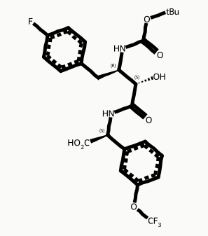 CC(C)(C)OC(=O)N[C@H](Cc1ccc(F)cc1)[C@H](O)C(=O)N[C@H](C(=O)O)c1cccc(OC(F)(F)F)c1